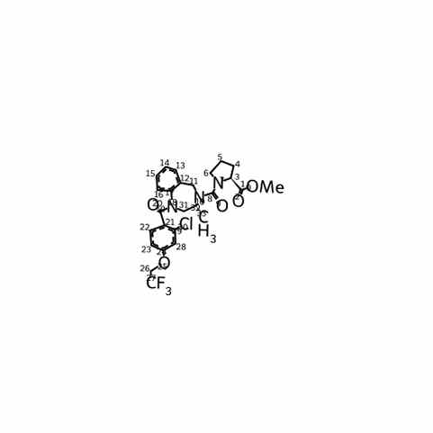 COC(=O)[C@@H]1CCCN1C(=O)N1Cc2ccccc2N(C(=O)c2ccc(OCC(F)(F)F)cc2Cl)C[C@H]1C